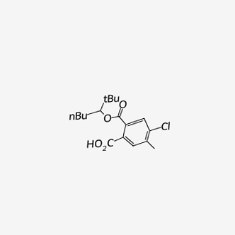 CCCCC(OC(=O)c1cc(Cl)c(C)cc1C(=O)O)C(C)(C)C